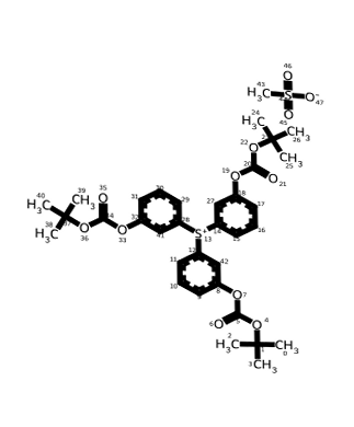 CC(C)(C)OC(=O)Oc1cccc([S+](c2cccc(OC(=O)OC(C)(C)C)c2)c2cccc(OC(=O)OC(C)(C)C)c2)c1.CS(=O)(=O)[O-]